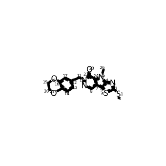 CSc1nc2c(s1)c1cnn(Cc3ccc4c(c3)OCCO4)c(=O)c1n2C